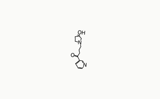 O=C(CCCN1CC[C@H](O)C1)c1cccnc1